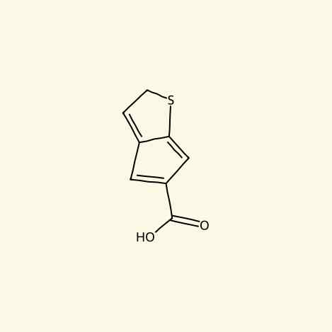 O=C(O)C1=CC2=CCSC2=C1